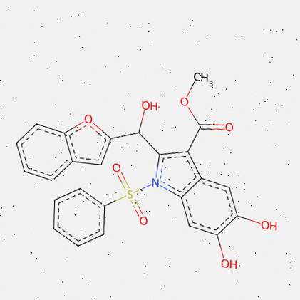 COC(=O)c1c(C(O)c2cc3ccccc3o2)n(S(=O)(=O)c2ccccc2)c2cc(O)c(O)cc12